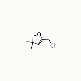 CC1(C)C=C(CCl)OC1